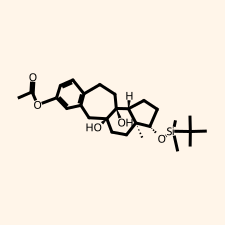 CC(=O)Oc1ccc2c(c1)C[C@@]1(O)CC[C@]3(C)[C@@H](O[Si](C)(C)C(C)(C)C)CC[C@H]3[C@@]1(O)CC2